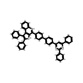 c1ccc(-c2cc(-c3ccc(-c4ccc(-c5nc6ccccc6c6c(-c7ccccc7)c(-c7ccccc7)sc56)cc4)cc3)nc(-c3ccccc3)n2)cc1